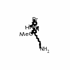 COc1cc2c(N[C@H](C)c3cccc(Br)c3)nc(C)nc2cc1CCCCCCC#CCN